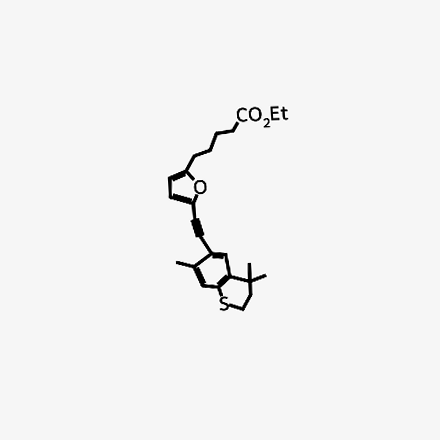 CCOC(=O)CCCCc1ccc(C#Cc2cc3c(cc2C)SCCC3(C)C)o1